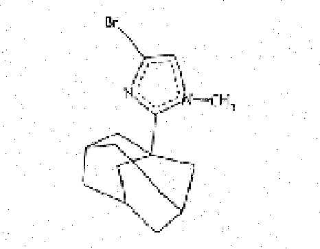 Cn1cc(Br)nc1C12CC3CC(CC(C3)C1)C2